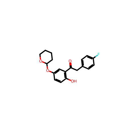 O=C(Cc1ccc(F)cc1)c1cc(OC2CCCCO2)ccc1O